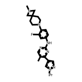 Cc1cnc(Nc2ccc(N3CCC4(CC3)CN(C)C4)c(F)c2)nc1-c1cnn(C(C)C)c1